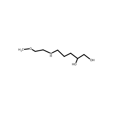 COCCNCCCC(O)CO